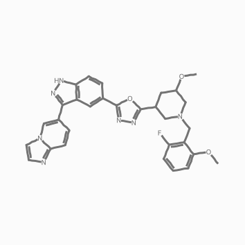 COc1cccc(F)c1CN1CC(OC)CC(c2nnc(-c3ccc4[nH]nc(-c5ccc6nccn6c5)c4c3)o2)C1